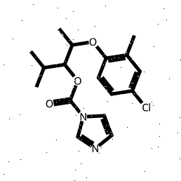 Cc1cc(Cl)ccc1OC(C)C(OC(=O)n1ccnc1)C(C)C